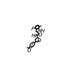 CC(=O)N1CCN(C2COCC(NC(=O)C3Cc4c(F)ccc(C)c4N3)C2)CC1